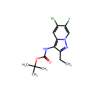 CCc1nn2cc(F)c(Br)cc2c1NC(=O)OC(C)(C)C